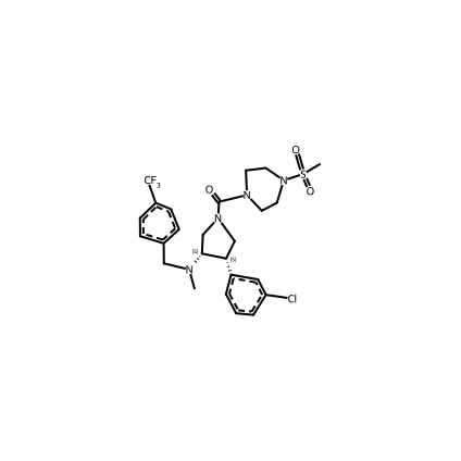 CN(Cc1ccc(C(F)(F)F)cc1)[C@@H]1CN(C(=O)N2CCN(S(C)(=O)=O)CC2)C[C@@H]1c1cccc(Cl)c1